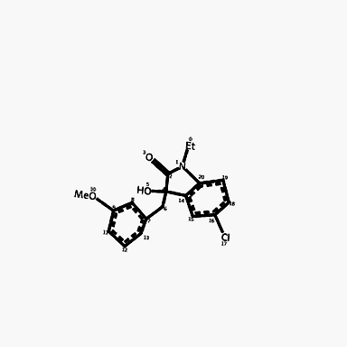 CCN1C(=O)C(O)(Cc2[c]c(OC)ccc2)c2cc(Cl)ccc21